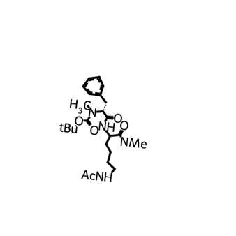 CNC(=O)C(CCCCNC(C)=O)NC(=O)[C@@H](Cc1ccccc1)N(C)C(=O)OC(C)(C)C